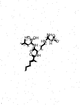 CCC/C=C(\C)C(=O)N[C@@H](CCCNC(=N)N[N+](=O)[O-])C(=O)N[C@@H](CC(C)C)B(O)O